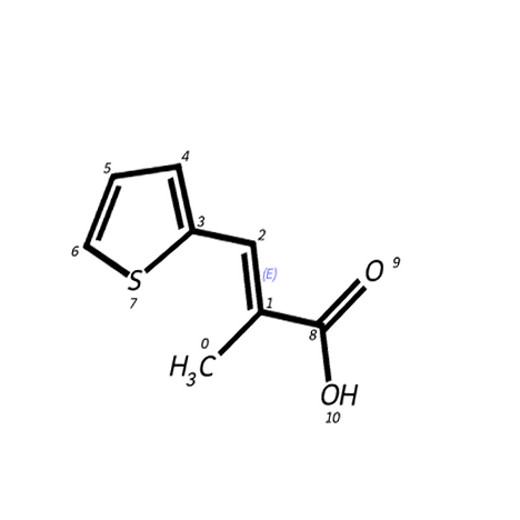 C/C(=C\c1cccs1)C(=O)O